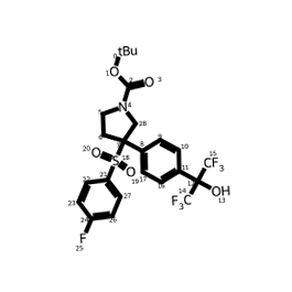 CC(C)(C)OC(=O)N1CCC(c2ccc(C(O)(C(F)(F)F)C(F)(F)F)cc2)(S(=O)(=O)c2ccc(F)cc2)C1